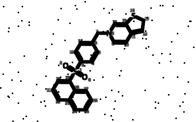 O=S(=O)(c1ccc(CN2C=CC3=CCSC3=C2)cc1)c1cccc2ccccc12